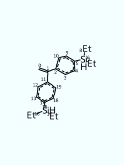 C=C(c1ccc([SiH](CC)CC)cc1)c1ccc([SiH](CC)CC)cc1